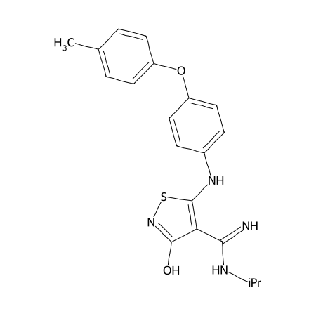 Cc1ccc(Oc2ccc(Nc3snc(O)c3C(=N)NC(C)C)cc2)cc1